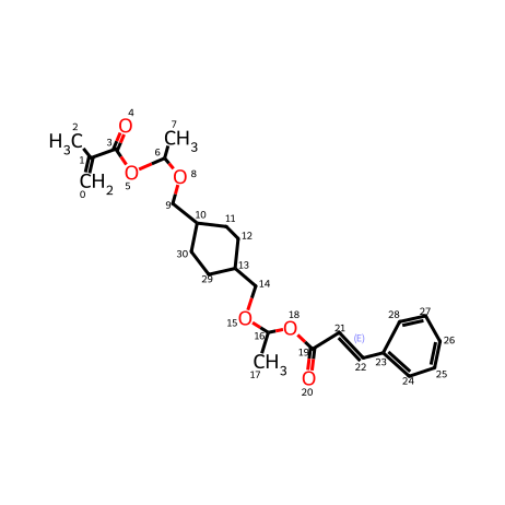 C=C(C)C(=O)OC(C)OCC1CCC(COC(C)OC(=O)/C=C/c2ccccc2)CC1